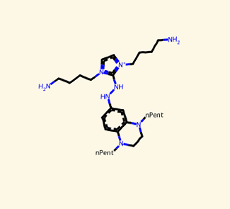 CCCCCN1CCN(CCCCC)c2cc(NNc3n(CCCCN)cc[n+]3CCCCN)ccc21